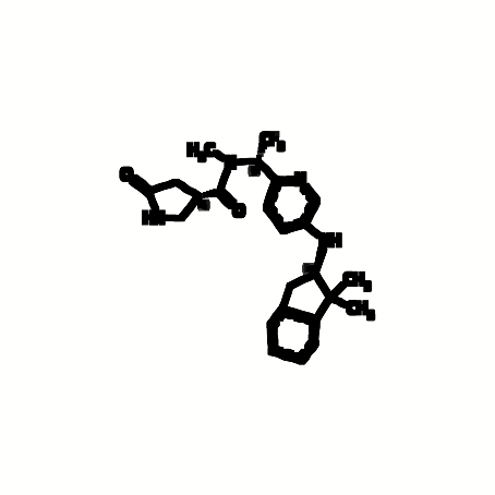 CN(C(=O)[C@@H]1CNC(=O)C1)[C@@H](c1ccc(N[C@@H]2Cc3ccccc3C2(C)C)cn1)C(F)(F)F